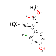 CC#C[C@@H](CC(=O)OC)c1ccc(O)cc1F